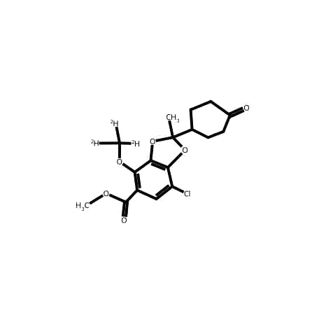 [2H]C([2H])([2H])Oc1c(C(=O)OC)cc(Cl)c2c1OC(C)(C1CCC(=O)CC1)O2